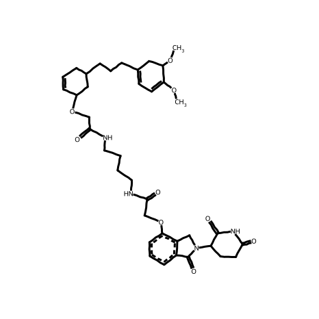 COC1=CC=C(CCCC2CC=CC(OCC(=O)NCCCCNC(=O)COc3cccc4c3CN(C3CCC(=O)NC3=O)C4=O)C2)CC1OC